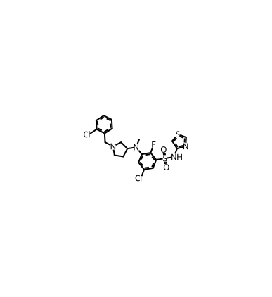 CN(c1cc(Cl)cc(S(=O)(=O)Nc2cscn2)c1F)C1CCN(Cc2ccccc2Cl)C1